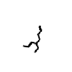 C=CCCC(C=CC)CC